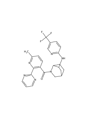 Cc1ccc(C(=O)N2CC3CCC2C(Nc2ccc(C(F)(F)F)cn2)C3)c(-c2ncccn2)n1